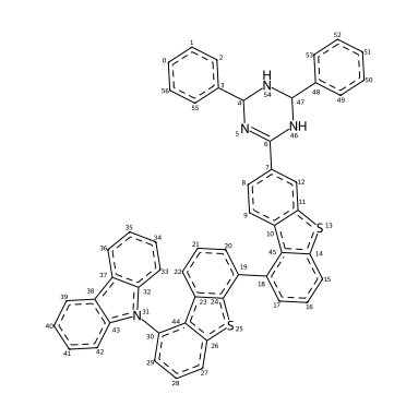 c1ccc(C2N=C(c3ccc4c(c3)sc3cccc(-c5cccc6c5sc5cccc(-n7c8ccccc8c8ccccc87)c56)c34)NC(c3ccccc3)N2)cc1